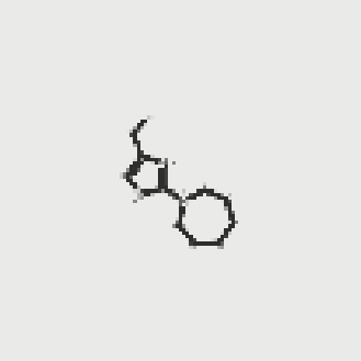 ClCc1csc(N2CCCCCC2)n1